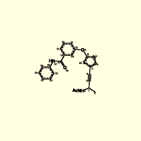 CC(=O)NC(C)C#Cc1cnc(Oc2cccc(C(=O)Nc3ccccc3)c2)s1